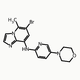 Cc1c(Br)cc(Nc2ccc(N3CCOCC3)cn2)c2nccn12